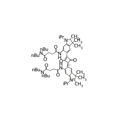 CCCCN(CCCC)C(=O)CCC(=O)Nc1cc2c(cc1C1=C([O-])/C(=c3/cc4c(cc3NC(=O)CCC(=O)N(CCCC)CCCC)=[N+](C(C)C)C(C)C4(C)C)C1=O)C(C)(C)C(C)N2C(C)C